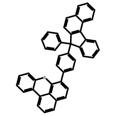 c1ccc(C2(c3ccc(-c4ccc5cccc6c5c4Sc4ccccc4-6)cc3)c3ccccc3-c3c2ccc2ccccc32)cc1